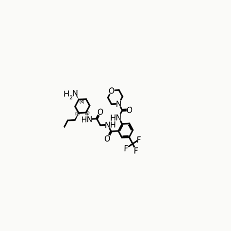 CCC[C@H]1C[C@H](N)CC[C@@H]1NC(=O)CNC(=O)c1cc(C(F)(F)F)ccc1NC(=O)N1CCOCC1